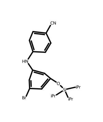 CC(C)[Si](Oc1cc(Br)cc(Nc2ccc(C#N)cc2)c1)(C(C)C)C(C)C